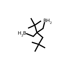 BCC(CB)(CC(C)(C)C)C(C)(C)C